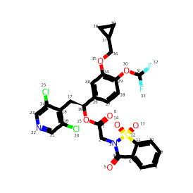 O=C(CN1C(=O)c2ccccc2S1(=O)=O)O[C@@H](Cc1c(Cl)cncc1Cl)c1ccc(OC(F)F)c(OCC2CC2)c1